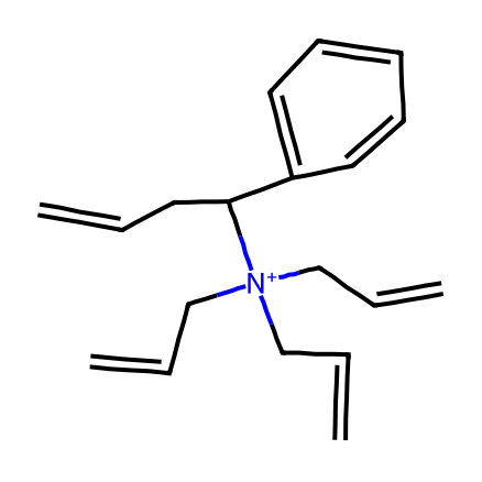 C=CCC(c1ccccc1)[N+](CC=C)(CC=C)CC=C